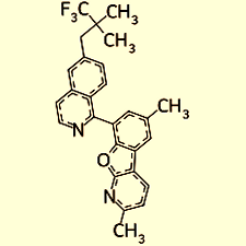 Cc1cc(-c2nccc3cc(CC(C)(C)C(F)(F)F)ccc23)c2oc3nc(C)ccc3c2c1